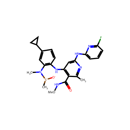 CONC(=O)c1c(Nc2ccc(C3CC3)cc2N(C)[S+](C)[O-])cc(Nc2cccc(F)n2)nc1C